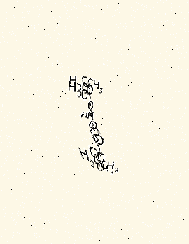 CC(C)(C)OC(=O)CCOCCNCCOCOCOCCC(=O)OC(C)(C)C